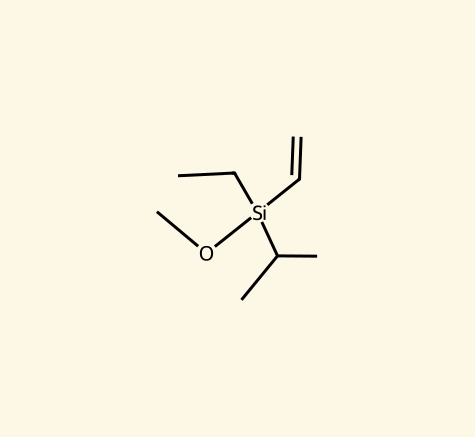 C=C[Si](CC)(OC)C(C)C